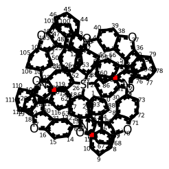 c1ccc2c(c1)c1ccccc1n2-c1ccc2oc3ccc4oc5ccc([Si](c6ccc7oc8ccc9oc%10ccc(-n%11c%12ccccc%12c%12ccccc%12%11)cc%10c9c8c7c6)(c6ccc7oc8ccc9oc%10ccc(-n%11c%12ccccc%12c%12ccccc%12%11)cc%10c9c8c7c6)c6ccc7oc8ccc9oc%10ccc(-n%11c%12ccccc%12c%12ccccc%12%11)cc%10c9c8c7c6)cc5c4c3c2c1